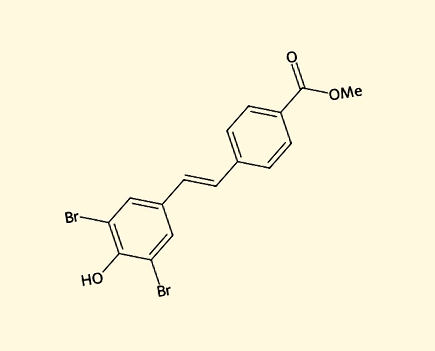 COC(=O)c1ccc(C=Cc2cc(Br)c(O)c(Br)c2)cc1